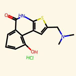 CN(C)Cc1cc2c([nH]c(=O)c3cccc(O)c32)s1.Cl